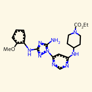 CCOC(=O)N1CCC(Nc2cc(-n3nc(Nc4ccccc4OC)nc3N)ncn2)CC1